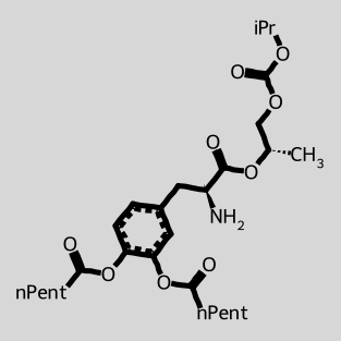 CCCCCC(=O)Oc1ccc(C[C@H](N)C(=O)O[C@@H](C)COC(=O)OC(C)C)cc1OC(=O)CCCCC